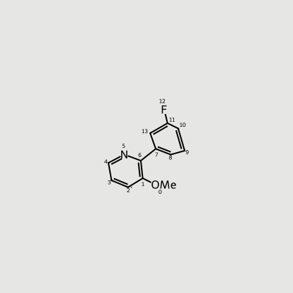 COc1[c]ccnc1-c1cccc(F)c1